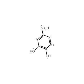 O=S(=O)(O)c1cnc(O)c(O)c1